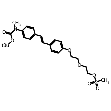 CN(C(=O)OC(C)(C)C)c1ccc(C=Cc2ccc(OCCOCCOS(C)(=O)=O)cc2)cc1